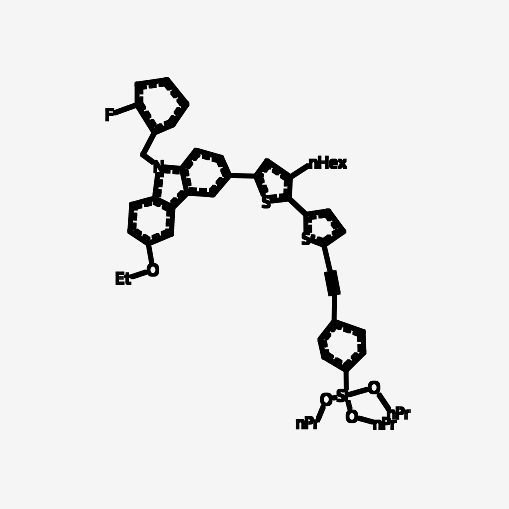 CCCCCCc1cc(-c2ccc3c(c2)c2cc(OCC)ccc2n3Cc2ccccc2F)sc1-c1ccc(C#Cc2ccc([Si](OCCC)(OCCC)OCCC)cc2)s1